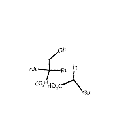 CCCCC(CC)(CO)C(=O)O.CCCCC(CC)C(=O)O